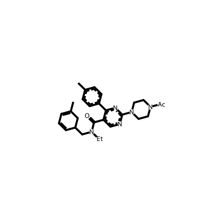 CCN(CC1C=CC=C(C)C1)C(=O)c1cnc(N2CCN(C(C)=O)CC2)nc1-c1ccc(C)cc1